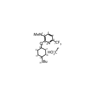 CC(=O)O.CNc1ccc(C(F)(F)F)nc1OC1CCC(C(C)(C)C)CC1